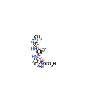 CN1CCN(CC(=O)Nc2cc(C(=O)Nc3cccc(-c4ccnc5c(C(=O)O)cnn45)c3)cc(C(F)(F)F)c2)CC1